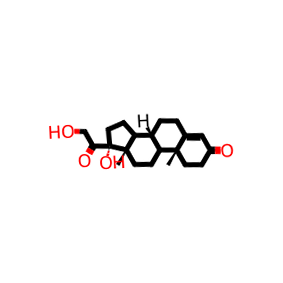 C[C@]12CCC(=O)C=C1CC[C@@H]1C2CC[C@@]2(C)C1CC[C@]2(O)C(=O)CO